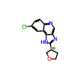 Clc1ccc2ncc3nc([C@H]4CCOC4)[nH]c3c2c1